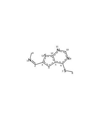 C/N=C\c1cc2c(SC)ncnc2s1